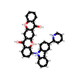 O=c1c2ccccc2oc2cc3c(=O)c4cccc(-n5c6ccccc6c6cc(-c7ccccn7)ccc65)c4oc3cc12